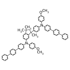 COc1ccc(N(c2ccc(-c3ccc(-c4ccccc4)cc3)cc2)c2ccc(C3(C)CC(C)(C)c4ccc(N(c5ccc(OC)cc5)c5ccc(-c6ccc(-c7ccccc7)cc6)cc5)cc43)cc2)cc1